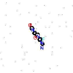 COC1CCN(c2ccc3c(c2)CCN(c2ccc(N4CCC(N(C)C)C4)c(F)c2)C3=O)CC1